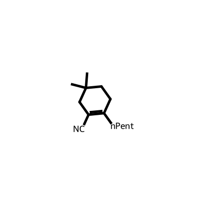 CCCCCC1=C(C#N)CC(C)(C)CC1